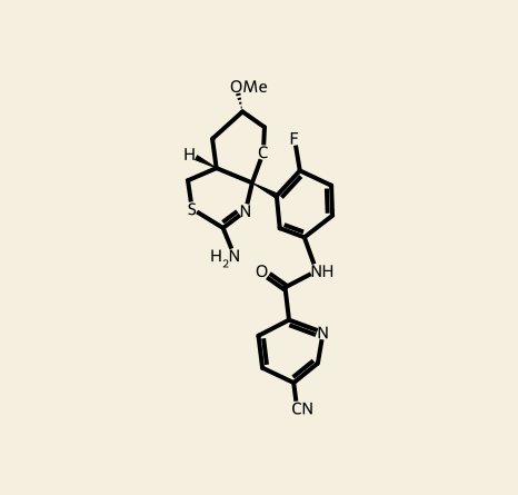 CO[C@@H]1CC[C@]2(c3cc(NC(=O)c4ccc(C#N)cn4)ccc3F)N=C(N)SC[C@@H]2C1